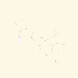 CC1(C)c2ccccc2C2(c3ccccc3-c3cc(-c4ccccc4C#N)ccc32)c2ccccc21